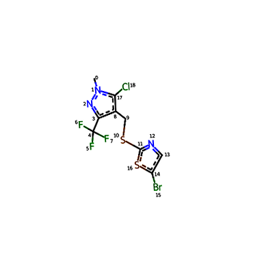 Cn1nc(C(F)(F)F)c(CSc2ncc(Br)s2)c1Cl